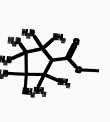 BC1(B)C(C(=O)OC)C(B)(B)C(B)(B)C1(B)B